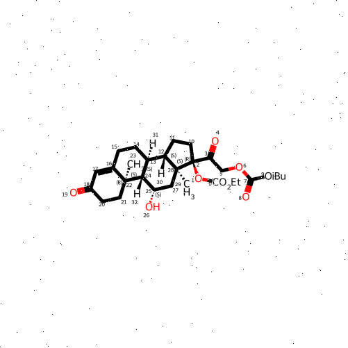 CCOC(=O)O[C@]1(C(=O)COC(=O)OCC(C)C)CC[C@H]2[C@@H]3CCC4=CC(=O)CC[C@]4(C)[C@H]3[C@@H](O)C[C@@]21C